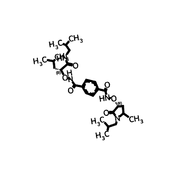 CC(C)CNC(=O)[C@@H](CC(C)C)ONC(=O)c1ccc(C(=O)NO[C@@H]2CC(C)N(CC(C)C)C2=O)cc1